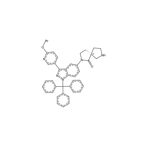 CC(C)Oc1ccc(-c2nn(C(c3ccccc3)(c3ccccc3)c3ccccc3)c3ccc(N4CC[C@@]5(CCNC5)C4=O)cc23)cn1